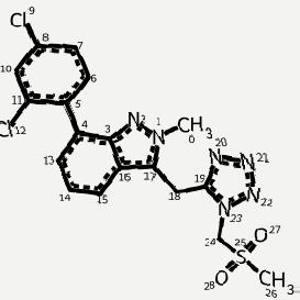 Cn1nc2c(-c3ccc(Cl)cc3Cl)cccc2c1Cc1nnnn1CS(C)(=O)=O